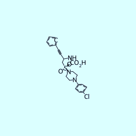 O=C(O)NC(C#Cc1ccccc1)CS(=O)(=O)N1CCN(c2ccc(Cl)cc2)CC1